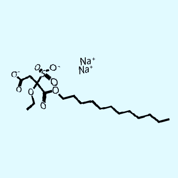 CCCCCCCCCCCCOC(=O)C(CC(=O)[O-])(OCC)S(=O)(=O)[O-].[Na+].[Na+]